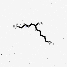 CCCCCCC(C)C/C=C/CN